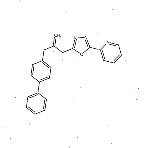 C=C(Cc1ccc(-c2ccccc2)cc1)Cc1nnc(-c2ccccn2)o1